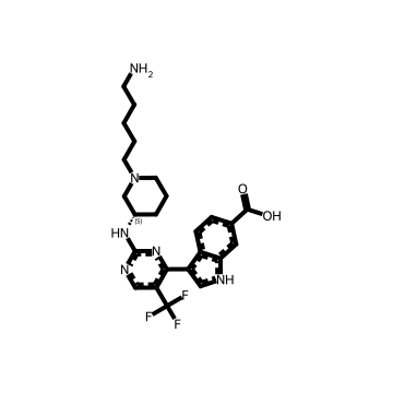 NCCCCCN1CCC[C@H](Nc2ncc(C(F)(F)F)c(-c3c[nH]c4cc(C(=O)O)ccc34)n2)C1